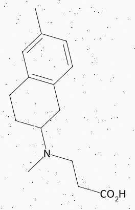 Cc1ccc2c(c1)CCC(N(C)CCC(=O)O)C2